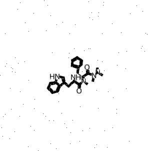 CN(C(=O)[C@H](N)Cc1c[nH]c2ccccc12)[C@H](Cc1ccccc1)C(=O)N(C)N(C)C